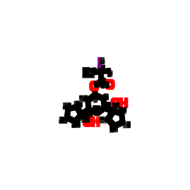 CCC(C)(I)C(=O)OC1CC(C2(O)CCCC2)CC(C2(O)CCCC2)C1